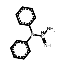 N=[PH](N)N(c1ccccc1)c1ccccc1